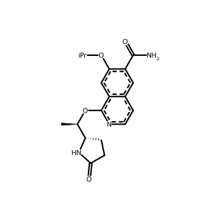 CC(C)Oc1cc2c(O[C@H](C)[C@@H]3CCC(=O)N3)nccc2cc1C(N)=O